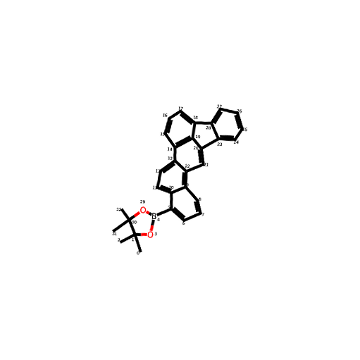 CC1(C)OB(c2cccc3c2ccc2c4cccc5c4c(cc32)-c2ccccc2-5)OC1(C)C